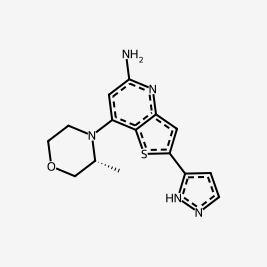 C[C@@H]1COCCN1c1cc(N)nc2cc(-c3ccn[nH]3)sc12